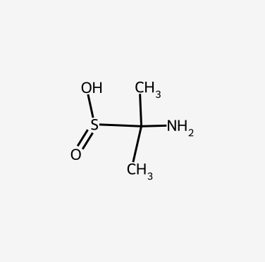 CC(C)(N)S(=O)O